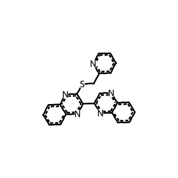 c1ccc(CSc2nc3ccccc3nc2-c2cnc3ccccc3n2)nc1